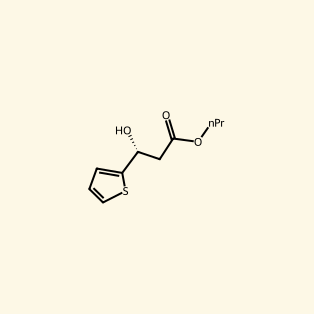 CCCOC(=O)C[C@@H](O)c1cccs1